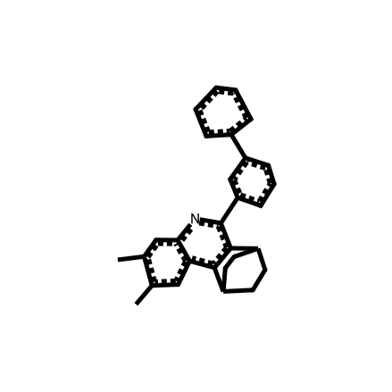 Cc1cc2nc(-c3cccc(-c4ccccc4)c3)c3c(c2cc1C)C1CCC3CC1